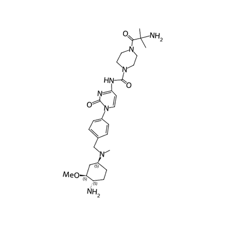 CO[C@H]1C[C@@H](N(C)Cc2ccc(-n3ccc(NC(=O)N4CCN(C(=O)C(C)(C)N)CC4)nc3=O)cc2)CC[C@@H]1N